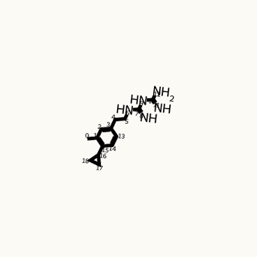 Cc1cc(CCNC(=N)NC(=N)N)ccc1C1CC1